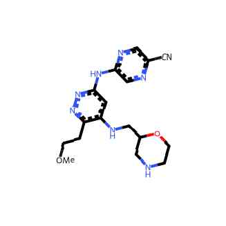 COCCc1nnc(Nc2cnc(C#N)cn2)cc1NCC1CNCCO1